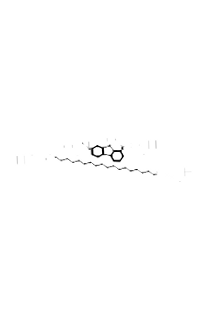 O=C(O)CCCCCCCCCCCCCCCCCCC(=O)O.O=C(O)c1cccc2c1C(=O)c1cc([N+](=O)[O-])ccc1-2